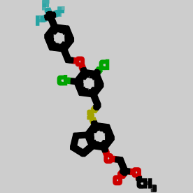 COC(=O)COc1ccc(SCc2cc(Cl)c(OCc3ccc(C(F)(F)F)cc3)c(Cl)c2)c2c1CCC2